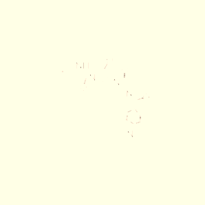 CCN(CC)c1ccc(C(=O)NC(CC(C)C)C(=O)N2CCC3C2C(=O)CN3C(=O)C(N)CC(C)(C)C)cc1